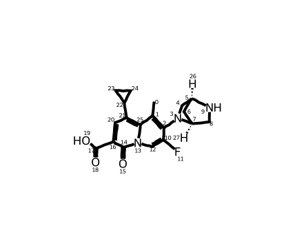 Cc1c(N2C[C@@H]3C[C@H]2CN3)c(F)cn2c(=O)c(C(=O)O)cc(C3CC3)c12